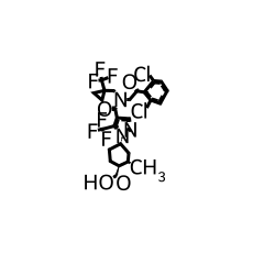 C[C@@H]1C[C@@H](n2ncc(C(=O)N(CC(=O)c3c(Cl)cccc3Cl)CC3(C(F)(F)F)CC3)c2C(F)(F)F)CC[C@@H]1C(=O)O